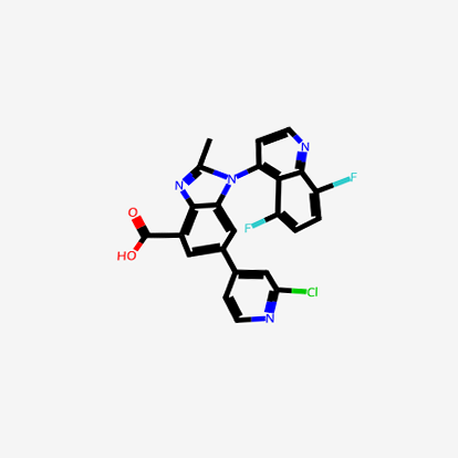 Cc1nc2c(C(=O)O)cc(-c3ccnc(Cl)c3)cc2n1-c1ccnc2c(F)ccc(F)c12